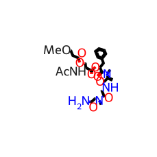 C=C(C(=O)NCC(=O)N(C)CC(N)=O)N(C)C(=O)C(Cc1ccccc1)OC(=O)C(COC(=O)CCOC)NC(C)=O